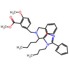 CCCCC(c1cnc(-c2ccccc2)n1CCCC)N(Cc1ccccc1)Cc1ccc(OC)c(C(=O)OC)c1